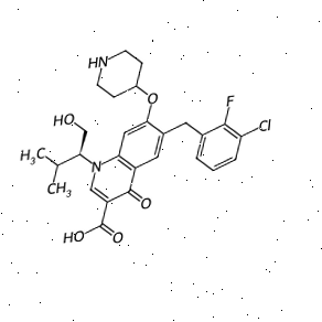 CC(C)[C@@H](CO)n1cc(C(=O)O)c(=O)c2cc(Cc3cccc(Cl)c3F)c(OC3CCNCC3)cc21